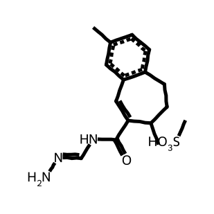 CS(=O)(=O)O.Cc1ccc2c(c1)C=C(C(=O)NC=NN)C(C)CC2